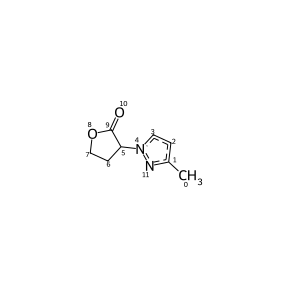 Cc1ccn(C2CCOC2=O)n1